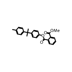 COC(=O)c1ccccc1C(=O)Oc1ccc(C(C)(C)c2ccc(C)cc2)cc1